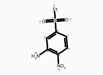 CCS(=O)(=O)c1ccc([N+](=O)[O-])c(N)c1